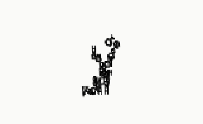 CC(C)c1ccccc1[C@@H]1CCCN1C1CC2(CCN(c3cc(Oc4cnc5[nH]ccc5c4)c(C(=O)NS(=O)(=O)c4cc([N+](=O)[O-])c(NCC5(F)CCN(CC(F)(F)F)CC5)c5[nH]cnc45)cn3)CC2)C1